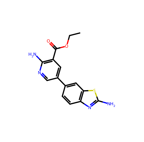 CCOC(=O)c1cc(-c2ccc3nc(N)sc3c2)cnc1N